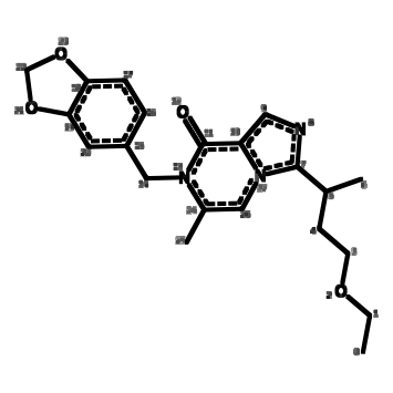 CCOCCC(C)c1ncc2c(=O)n(Cc3ccc4c(c3)OCO4)c(C)cn12